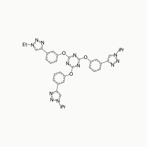 CCn1cc(-c2cccc(Oc3nc(Oc4cccc(-c5cn(C(C)C)nn5)c4)nc(Oc4cccc(-c5cn(C(C)C)nn5)c4)n3)c2)nn1